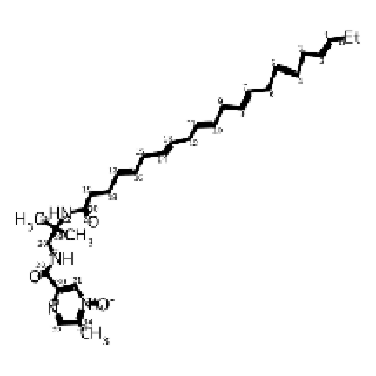 CCC=CCC=CCC=CCC=CCC=CCC=CCCC(=O)NC(C)(C)CNC(=O)c1c[n+]([O-])c(C)cn1